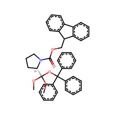 COC(OC)(OC(c1ccccc1)(c1ccccc1)c1ccccc1)[C@@H]1CCCN1C(=O)OCC1c2ccccc2-c2ccccc21